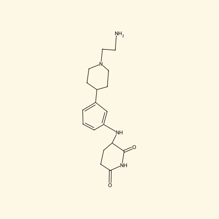 NCCN1CCC(c2cccc(NC3CCC(=O)NC3=O)c2)CC1